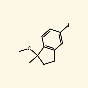 COC1(C)CCc2cc(I)ccc21